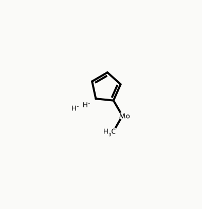 [CH3][Mo][C]1=CC=CC1.[H-].[H-]